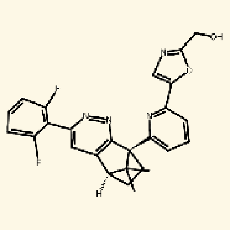 CC1(C)[C@H]2CC[C@@]1(c1cccc(-c3cnc(CO)o3)n1)c1nnc(-c3c(F)cccc3F)cc12